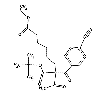 CCOC(=O)CCCCCC(C(C)=O)(C(=O)OC(C)(C)C)C(=O)c1ccc(C#N)cc1